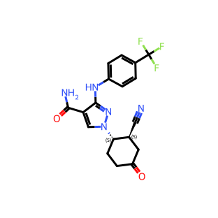 N#C[C@H]1CC(=O)CC[C@@H]1n1cc(C(N)=O)c(Nc2ccc(C(F)(F)F)cc2)n1